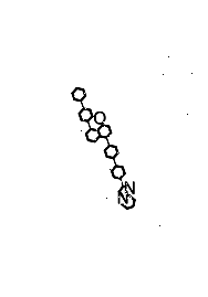 c1ccc(-c2ccc3c(c2)Oc2ccc(-c4ccc(-c5ccc(-c6cn7ccccc7n6)cc5)cc4)c4cccc-3c24)cc1